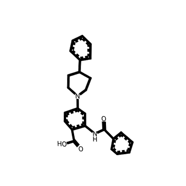 O=C(Nc1cc(N2CCC(c3ccccc3)CC2)ccc1C(=O)O)c1ccccc1